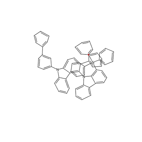 c1ccc(-c2cccc(-n3c4ccccc4c4c(-n5c6ccccc6c6cccc([Si](c7ccccc7)(c7ccccc7)c7ccccc7)c65)c(-c5ccccc5)ccc43)c2)cc1